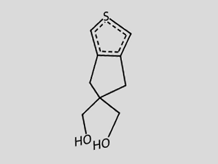 OCC1(CO)Cc2cscc2C1